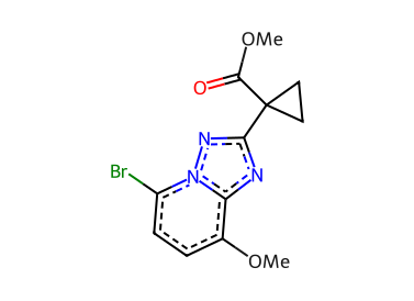 COC(=O)C1(c2nc3c(OC)ccc(Br)n3n2)CC1